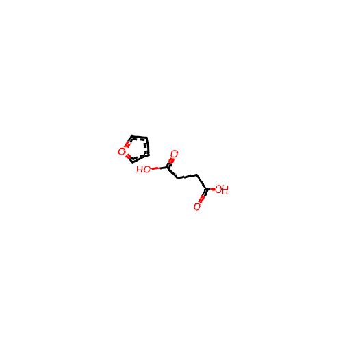 O=C(O)CCC(=O)O.c1ccoc1